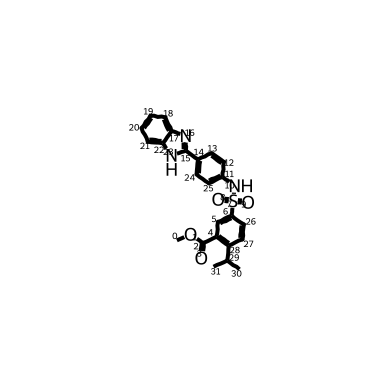 COC(=O)c1cc(S(=O)(=O)Nc2ccc(-c3nc4ccccc4[nH]3)cc2)ccc1C(C)C